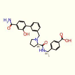 C[C@H](NC(=O)[C@H]1CCCN1Cc1cccc(-c2ccc(C(N)=O)cc2O)c1)c1ccc(C(=O)O)cc1